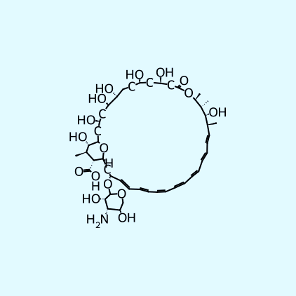 C[C@@H]1[C@H](O)[C@@H](C)/C=C/C=C/C=C/C=C/C=C/C=C/C=C/[C@H](OC2OC[C@@H](O)[C@H](N)[C@@H]2O)C[C@@H]2OC(C[C@@H](O)C[C@@H](O)[C@H](O)CC[C@@H](O)C[C@@H](O)CC(=O)O[C@H]1C)[C@@H](O)[C@H](C)[C@H]2C(=O)O